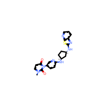 Cn1ccc(=O)n(-c2ccc(N[C@H]3CC[C@H](Nc4nc5cccnc5s4)C3)nc2)c1=O